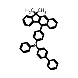 CC1(C)c2ccccc2-c2c1cc1ccccc1c2-c1ccc(N(c2ccccc2)c2ccc(-c3ccccc3)cc2)cc1